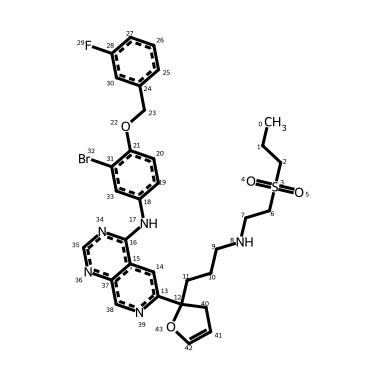 CCCS(=O)(=O)CCNCCCC1(c2cc3c(Nc4ccc(OCc5cccc(F)c5)c(Br)c4)ncnc3cn2)CC=CO1